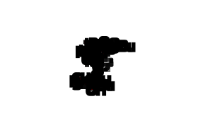 C/C(=C\C(=O)N[C@H]1CCc2cccc3c2N(C1=O)[C@H](C(=O)N[C@@H](CCC(N)=O)[C@@H](C)OCc1ccc(CCCOCCOCCOCC(=O)N[C@H](C(=O)N2C[C@H](O)C[C@H]2C(=O)NCc2ccc(-c4scnc4C)cc2)C(C)(C)C)cc1)C3)c1ccc(C(F)(F)P(=O)(OCOC(=O)C(C)(C)C)OCOC(=O)C(C)(C)C)cc1